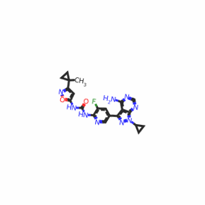 CC1(c2cc(NC(=O)Nc3ncc(-c4nn(C5CC5)c5ncnc(N)c45)cc3F)on2)CC1